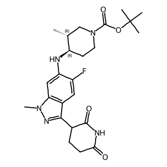 C[C@@H]1CN(C(=O)OC(C)(C)C)CC[C@H]1Nc1cc2c(cc1F)c(C1CCC(=O)NC1=O)nn2C